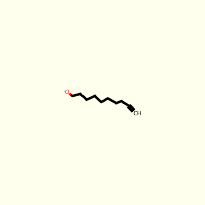 C#CCCCCCCCC[O]